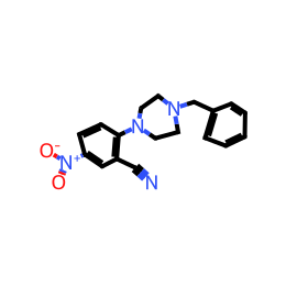 N#Cc1cc([N+](=O)[O-])ccc1N1CCN(Cc2ccccc2)CC1